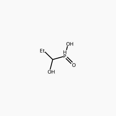 CCC(O)[PH](=O)O